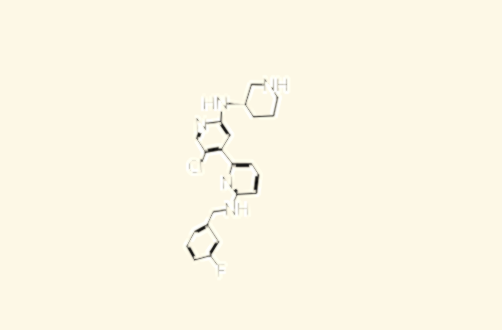 Fc1cccc(CNc2cccc(-c3cc(N[C@@H]4CCCNC4)ncc3Cl)n2)c1